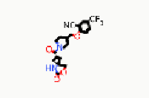 N#Cc1cc(C(F)(F)F)ccc1OCC1CCN(C(=O)[C@H]2C[C@]3(COC(=O)N3)C2)CC1